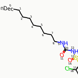 CCCCCCCCCCCCCCCCCCNC(=O)NS(=O)(=O)CC(Cl)CC